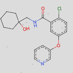 O=C(NCC1(O)CCCCC1)c1cc(Oc2cccnc2)ccc1Cl